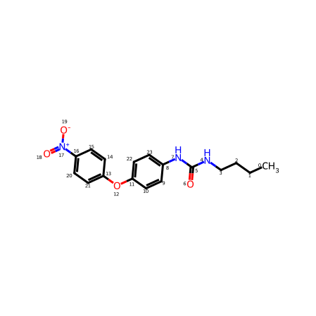 CCCCNC(=O)Nc1ccc(Oc2ccc([N+](=O)[O-])cc2)cc1